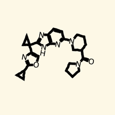 O=C(C1CCCN(c2ccc3nc(C4(c5coc(C6CC6)n5)CC4)[nH]c3n2)C1)N1CCCC1